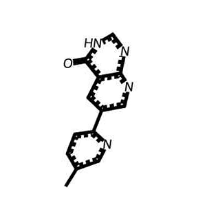 Cc1ccc(-c2cnc3nc[nH]c(=O)c3c2)nc1